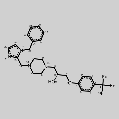 O[C@@H](COc1ccc(C(F)(F)F)cc1)CN1CCN(Cc2nccn2Cc2ccccc2)CC1